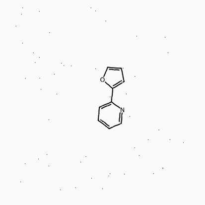 [c]1coc(-c2ccccn2)c1